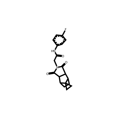 O=C(CN1C(=O)C2C(C1=O)C1CCC2C12CC2)Nc1ccc(F)cc1